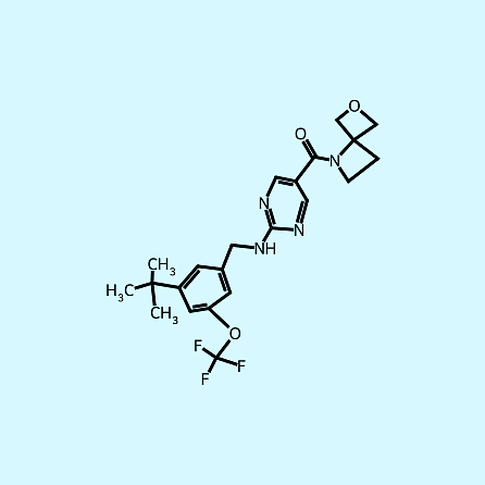 CC(C)(C)c1cc(CNc2ncc(C(=O)N3CCC34COC4)cn2)cc(OC(F)(F)F)c1